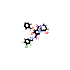 O=C(NCc1ccc(F)c(Cl)c1F)c1cn2c(c(OCc3ccccc3)c1=O)C(=O)N1CCCC(O)C2C1